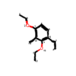 CCOc1ccc(CC)c(OCC)c1C